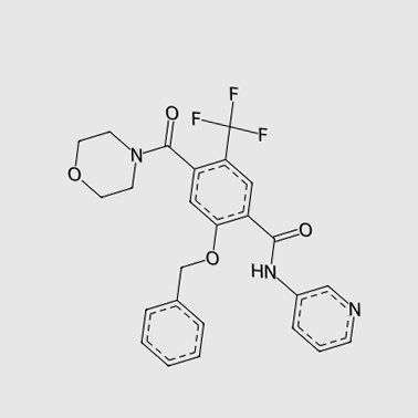 O=C(Nc1cccnc1)c1cc(C(F)(F)F)c(C(=O)N2CCOCC2)cc1OCc1ccccc1